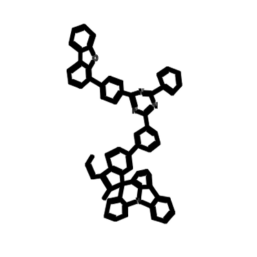 C/C=C\C1=C(C)C2(c3cc(-c4cccc(-c5nc(-c6ccccc6)nc(-c6ccc(-c7cccc8c7oc7ccccc78)cc6)n5)c4)ccc31)c1ccccc1-n1c3ccccc3c3cccc2c31